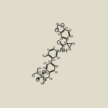 Cc1ccc(NC(=O)C2(c3ccc4c(c3)OCO4)CC2)cc1-c1ccc(CN(C)S(=O)(=O)C(C)C)cc1